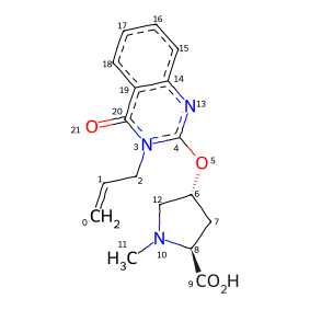 C=CCn1c(O[C@@H]2C[C@@H](C(=O)O)N(C)C2)nc2ccccc2c1=O